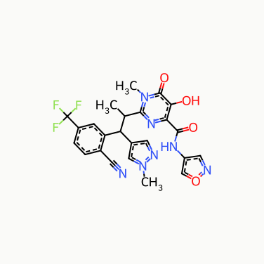 CC(c1nc(C(=O)Nc2cnoc2)c(O)c(=O)n1C)C(c1cnn(C)c1)c1cc(C(F)(F)F)ccc1C#N